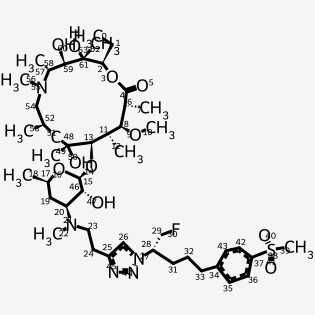 CC[C@H]1OC(=O)[C@H](C)[C@@H](OC)[C@H](C)[C@@H](O[C@@H]2O[C@H](C)C[C@H](N(C)CCc3cn([C@H](CF)CCCc4ccc(S(C)(=O)=O)cc4)nn3)[C@H]2O)[C@](C)(O)C[C@@H](C)CN(C)[C@H](C)[C@@H](O)[C@]1(C)O